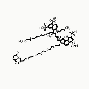 COCCOCCOCCOCCC1(C)C(/C=C/C=C2/N(CCOCCOCCOCCOCCOCCC(=O)ON3C(=O)CCC3=O)c3ccc4c(S(=O)(=O)O)cc(S(=O)(=O)O)cc4c3C2(C)C)=[N+](CCOC)c2ccc3c(S(=O)(=O)O)cc(S(=O)(=O)O)cc3c21